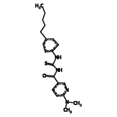 CCCCCc1ccc(NC(=S)NC(=O)c2ccc(N(C)C)nc2)cc1